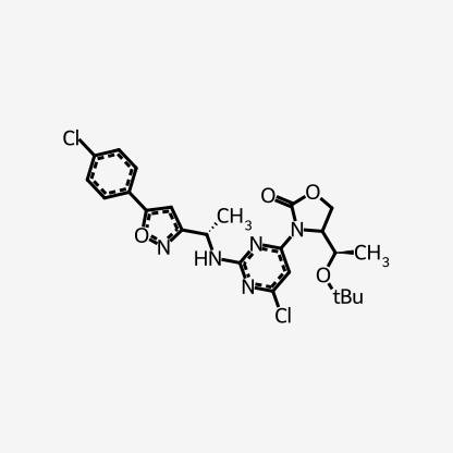 C[C@H](Nc1nc(Cl)cc(N2C(=O)OCC2[C@@H](C)OC(C)(C)C)n1)c1cc(-c2ccc(Cl)cc2)on1